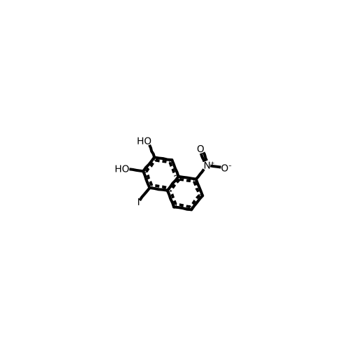 O=[N+]([O-])c1cccc2c(I)c(O)c(O)cc12